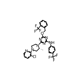 C[C@@H]1CN(c2ncccc2Cl)CCN1c1nc(Nc2ccc(C(F)(F)F)cc2)nc(OCc2ccccc2C(F)(F)F)n1